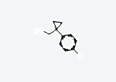 CCC1(c2ccc(Cl)cc2)CC1